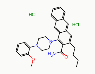 CCCCc1cc2cc3ccccc3cc2c(N2CCN(c3ccccc3OC)CC2)c1C(N)=O.Cl.Cl